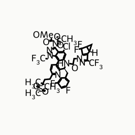 COC(=O)N(c1nn(CC(F)(F)F)c2c(-c3ccc(CCC(C)(C)S(C)(=O)=O)nc3[C@H](Cc3cc(F)cc(F)c3)NC(=O)Cn3nc(C(F)(F)F)c4c3C(F)(F)C3C[C@H]43)ccc(Cl)c12)S(C)(=O)=O